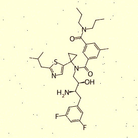 CCCN(CCC)C(=O)c1cc(C)cc(C(=O)N(C[C@@H](O)[C@H](N)Cc2cc(F)cc(F)c2)C2(c3cnc(CC(C)C)s3)CC2)c1